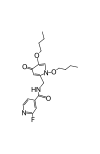 CCCCOc1cn(OCCCC)c(CNC(=O)c2ccnc(F)c2)cc1=O